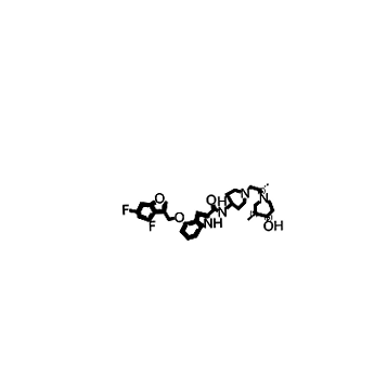 C[C@H]1CN([C@@H](C)CN2CCC(NC(=O)c3cc4c(OCc5coc6cc(F)cc(F)c56)cccc4[nH]3)CC2)CC[C@@H]1O